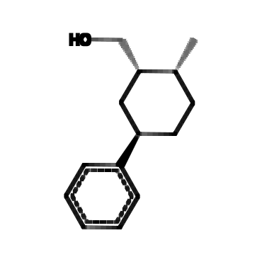 C[C@@H]1CC[C@@H](c2ccccc2)C[C@@H]1CO